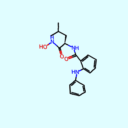 CC(C)C[C@@H](NC(=O)c1ccccc1Nc1ccccc1)C(=O)NO